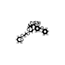 CC1(C)[C@H](/C=C\C(=O)OCCOC2CCCCO2)[C@@]1(C(=O)O)[C@@H](C#N)c1cccc(Oc2ccccc2)c1